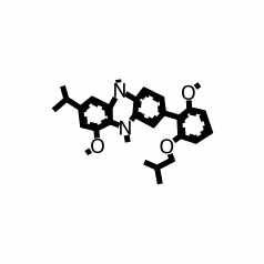 COc1cccc(OCC(C)C)c1-c1ccc2c(c1)N(C)c1c(OC)cc(C(C)C)cc1N2C